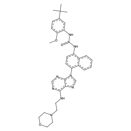 COc1ccc(C(C)(C)C)cc1NC(=O)Nc1ccc(-n2cnc3c(NCCN4CCOCC4)ncnc32)c2ccccc12